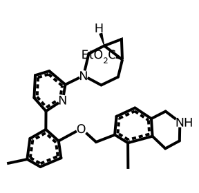 CCOC(=O)[C@@]12CCN(c3cccc(-c4cc(C)ccc4OCc4ccc5c(c4C)CCNC5)n3)C[C@@H]1C2